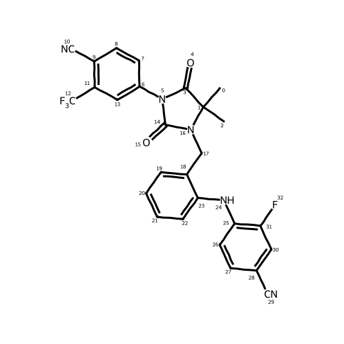 CC1(C)C(=O)N(c2ccc(C#N)c(C(F)(F)F)c2)C(=O)N1Cc1ccccc1Nc1ccc(C#N)cc1F